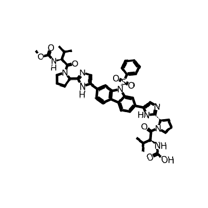 COC(=O)N[C@H](C(=O)N1CCCC1c1ncc(-c2ccc3c4ccc(-c5cnc([C@@H]6CCCN6C(=O)[C@@H](NC(=O)O)C(C)C)[nH]5)cc4n(S(=O)(=O)c4ccccc4)c3c2)[nH]1)C(C)C